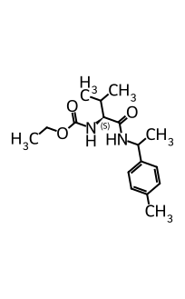 CCOC(=O)N[C@H](C(=O)NC(C)c1ccc(C)cc1)C(C)C